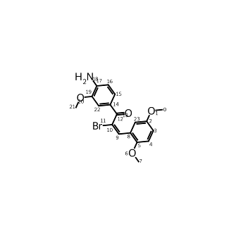 COc1ccc(OC)c(/C=C(/Br)C(=O)c2ccc(N)c(OC)c2)c1